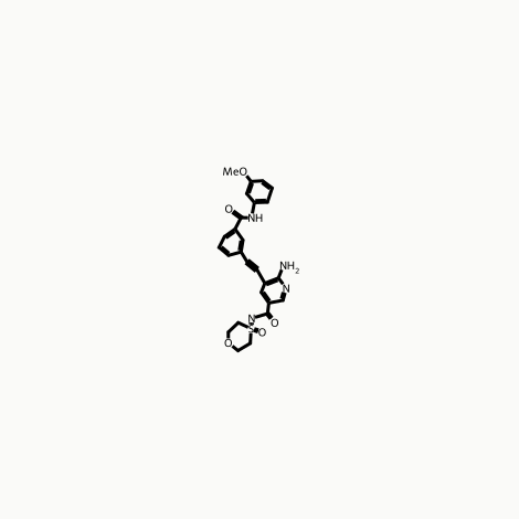 COc1cccc(NC(=O)c2cccc(C#Cc3cc(C(=O)N=S4(=O)CCOCC4)cnc3N)c2)c1